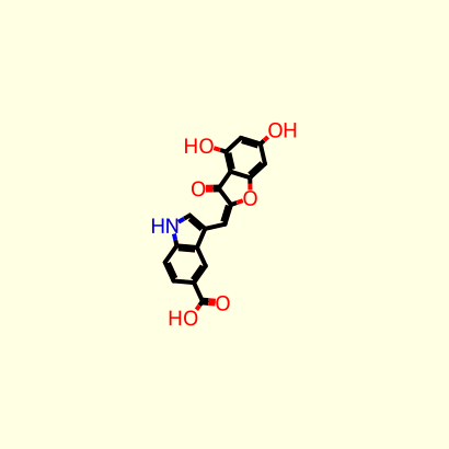 O=C(O)c1ccc2[nH]cc(C=C3Oc4cc(O)cc(O)c4C3=O)c2c1